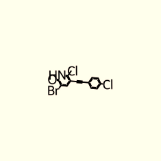 O=c1[nH]c(Cl)c(C#Cc2ccc(Cl)cc2)cc1Br